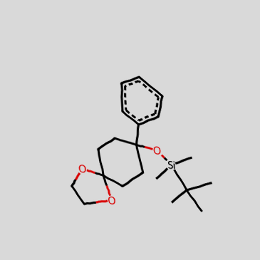 CC(C)(C)[Si](C)(C)OC1(c2ccccc2)CCC2(CC1)OCCO2